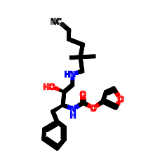 CC(C)(CCCC#N)CNC[C@H](O)[C@H](Cc1ccccc1)NC(=O)Oc1ccoc1